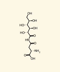 N[C@@H](CC(=O)NC(=O)[C@H](O)[C@H](O)[C@H](O)[C@H](O)CO)C(=O)O